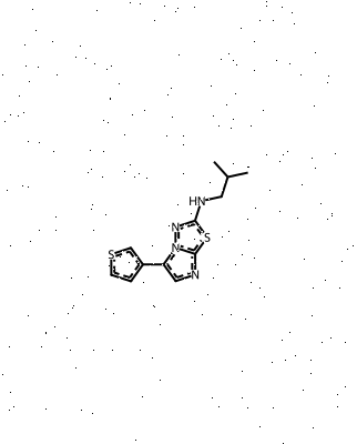 CC(C)CNc1nn2c(-c3ccsc3)cnc2s1